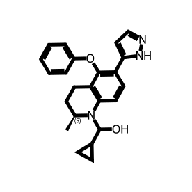 C[C@H]1CCc2c(ccc(-c3ccn[nH]3)c2Oc2ccccc2)N1C(O)C1CC1